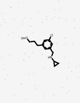 COCCCc1cc(Cl)cc(CNC2CC2)c1